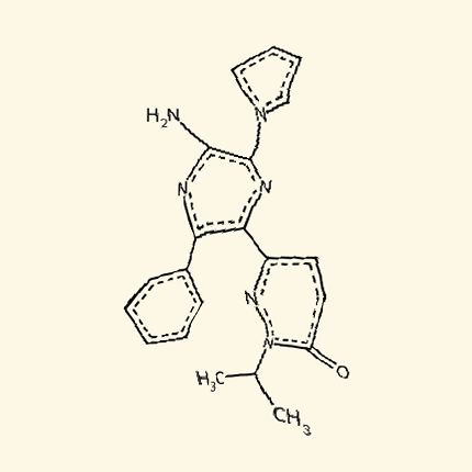 CC(C)n1nc(-c2nc(-n3cccc3)c(N)nc2-c2ccccc2)ccc1=O